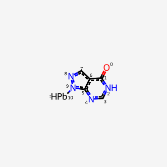 O=c1[nH]cnc2c1cn[n]2[PbH]